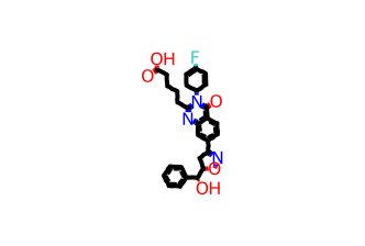 O=C(O)CCCCc1nc2cc(C3=NOC([C@@H](O)c4ccccc4)C3)ccc2c(=O)n1C1C=CC(F)=CC1